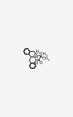 CC(C)(C)C(=O)Nc1ccccc1CC1NCCc2ccccc21